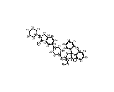 CCNC(=O)C1(CCCN2CCN(c3ccc4c(c3)C(=O)N(C3CCCCC3)C4)CC2)c2ccccc2Sc2ccccc21